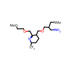 CNCC(CN)COCC1CCC(C(F)(F)F)N=C1COCCOC